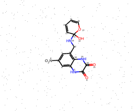 O=c1[nH]c2cc([N+](=O)[O-])cc(CNC3(O)C=CC=CO3)c2[nH]c1=O